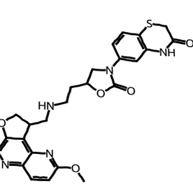 COc1ccc2ncc3c(c2n1)C(CNCCC1CN(c2ccc4c(c2)NC(=O)CS4)C(=O)O1)CO3